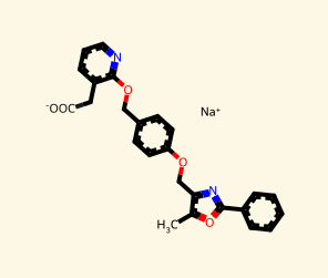 Cc1oc(-c2ccccc2)nc1COc1ccc(COc2ncccc2CC(=O)[O-])cc1.[Na+]